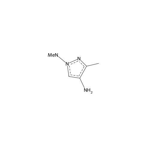 CNn1cc(N)c(C)n1